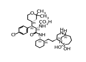 CC1(C)C[C@H]([C@H](c2ccc(Cl)cc2)[C@H](NC(=O)O)C(=O)N[C@H]2CCCC[C@@H]2CC[C@H]2CN[C@@H]3CCCS(O)(O)N2C3)CCO1